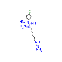 N=C(N)N(C(=N)NCCCCCCNC=NN)c1ccc(Cl)cc1